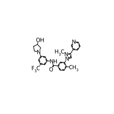 Cc1ccc(C(=O)Nc2cc(N3CCC(O)C3)cc(C(F)(F)F)c2)cc1-n1cc(-c2cccnc2)n1C